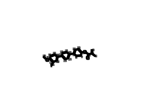 C=C(C)C(=O)Oc1ccc(-c2ccc(-c3ccc(OC)c(F)c3)cc2)cc1